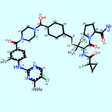 CNc1nc(Nc2ccc(C(=O)N3CCN(C(O)C4CCC(CSC(C)(C)[C@H](NC(=O)C5(F)CC5)C(=O)N5CCCC5C(N)=O)CC4)CC3)cc2OC)ncc1Cl